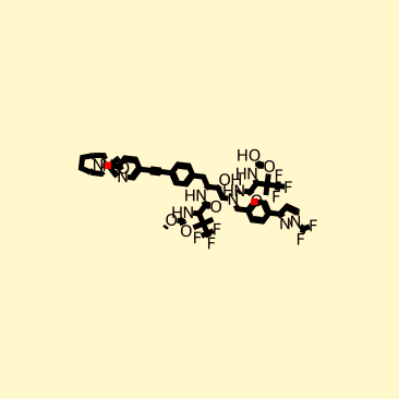 COC(=O)NC(C(=O)NC(Cc1ccc(C#Cc2ccc(N3CC4CCC(C3)N4C3COC3)nc2)cc1)C(O)CN(Cc1ccc(-c2ccn(C(F)F)n2)cc1)NC(=O)C(NC(=O)O)C(C)(C)C(F)(F)F)C(C)(C)C(F)(F)F